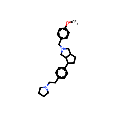 FC(F)(F)Oc1ccc(CN2CC3CCC(c4ccc(CCN5CCCC5)cc4)C3C2)cc1